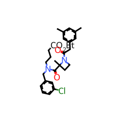 CCOC(=O)CCCN(Cc1cccc(Cl)c1)C(=O)C1(C)CCN1C(=O)Cc1cc(C)cc(C)c1